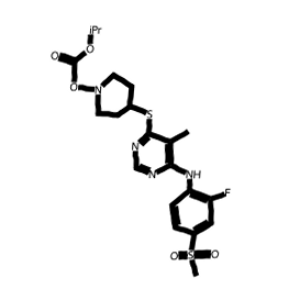 Cc1c(Nc2ccc(S(C)(=O)=O)cc2F)ncnc1SC1CCN(OC(=O)OC(C)C)CC1